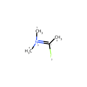 CC(F)=[N+](C)C